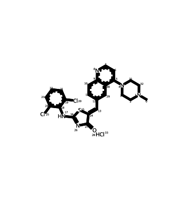 CN1CCN(c2ccnc3ccc(/C=C4\SC(Nc5c(Cl)cccc5Cl)=NC4=O)cc23)CC1.Cl